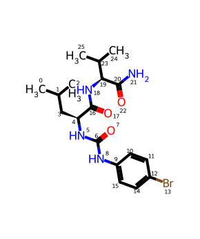 CC(C)C[C@H](NC(=O)Nc1ccc(Br)cc1)C(=O)N[C@H](C(N)=O)C(C)C